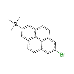 C[Si](C)(C)c1cc2ccc3cc(Br)cc4ccc(c1)c2c34